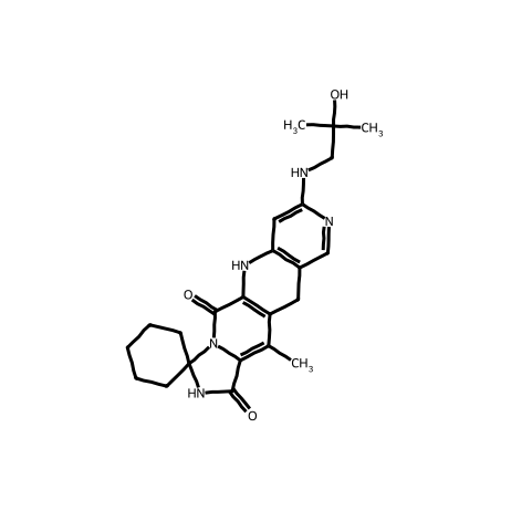 Cc1c2c(c(=O)n3c1C(=O)NC31CCCCC1)Nc1cc(NCC(C)(C)O)ncc1C2